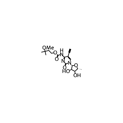 C#Cc1cn([C@@H]2O[C@H](C)[C@@H](O)[C@H]2O)c(=O)nc1NC(=O)OCCC(C)(C)OC